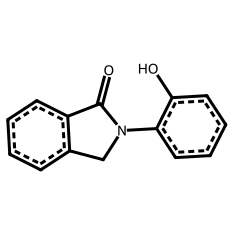 O=C1c2ccccc2CN1c1ccccc1O